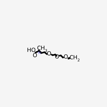 C=COCCOCCOCC/C=C(\C)C(=O)O